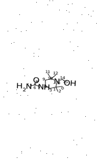 CC1(C)CC(NC(N)=O)CC(C)(C)N1CO